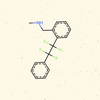 CNCc1ccccc1C(F)(F)C(F)(F)c1ccccc1